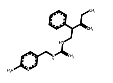 C=C(NCc1ccc(N)nc1)NCC(C(=C)CC)c1ccccc1